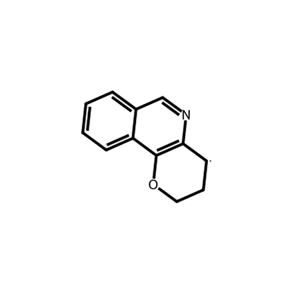 [CH]1CCOc2c1ncc1ccccc21